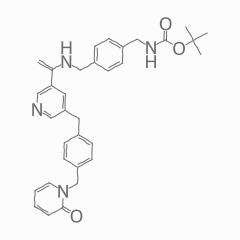 C=C(NCc1ccc(CNC(=O)OC(C)(C)C)cc1)c1cncc(Cc2ccc(Cn3ccccc3=O)cc2)c1